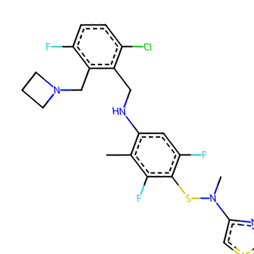 Cc1c(NCc2c(Cl)ccc(F)c2CN2CCC2)cc(F)c(SN(C)c2cscn2)c1F